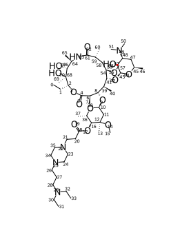 CC[C@H]1OC(=O)[C@H](C)[C@@H](O[C@H]2C[C@@](C)(OC)[C@@H](OC(=O)CCN3CCN(CCCN(CC)CC)CC3)[C@H](C)O2)[C@H](C)[C@@H](O[C@@H]2O[C@H](C)C[C@H](N(C)C)[C@H]2O)[C@](C)(OC)C[C@@H](C)C(=O)N[C@H](C)[C@@H](O)[C@]1(C)O